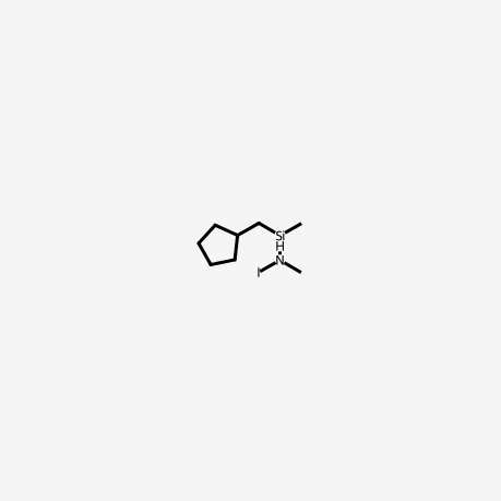 CN(I)[SiH](C)CC1CCCC1